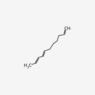 [CH]=CCCCCC=CC=CC